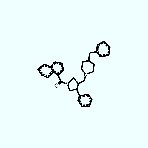 O=C(c1cccc2ccccc12)N1CC(CN2CCC(Cc3ccccc3)CC2)C(c2ccccc2)C1